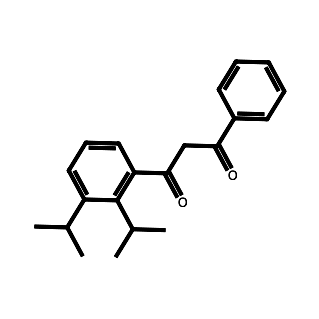 CC(C)c1cccc(C(=O)CC(=O)c2ccccc2)c1C(C)C